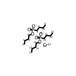 CCCCOP(=O)([O-])CCCC.CCCCOP(=O)([O-])CCCC.[Cr+2]